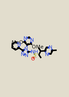 COc1ncnc(OC)c1-n1c(N[S+]([O-])C(C)C(C)c2cnc(C)cn2)nnc1-c1ccccn1